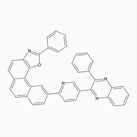 c1ccc(-c2nc3ccc4ccc5ccc(-c6ccc(-c7nc8ccccc8nc7-c7ccccc7)cn6)cc5c4c3o2)cc1